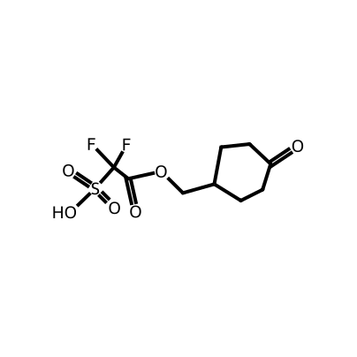 O=C1CCC(COC(=O)C(F)(F)S(=O)(=O)O)CC1